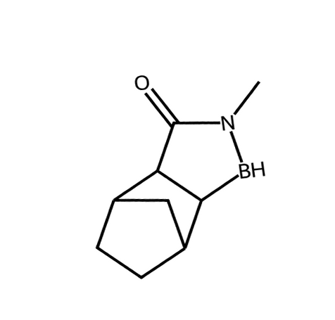 CN1BC2C3CCC(C3)C2C1=O